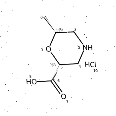 C[C@@H]1CNC[C@H](C(=O)O)O1.Cl